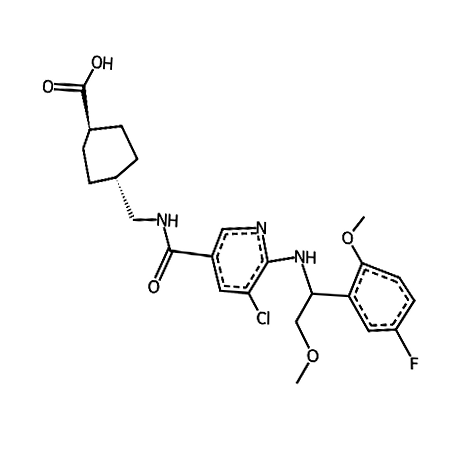 COCC(Nc1ncc(C(=O)NC[C@H]2CC[C@H](C(=O)O)CC2)cc1Cl)c1cc(F)ccc1OC